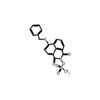 O=C1c2cccc3c(SCc4ccccc4)ccc(c23)C(=O)N1OS(=O)(=O)C(F)(F)F